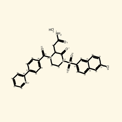 Cl.NC(=O)CC1C(=O)N(S(=O)(=O)c2ccc3cc(Cl)ccc3c2)CCN1C(=O)c1ccc(-c2ccccn2)cc1